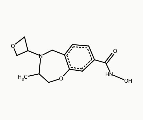 CC1COc2cc(C(=O)NO)ccc2CN1C1COC1